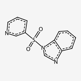 O=S(=O)(c1cccnc1)n1cnc2ccccc21